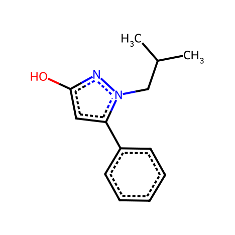 CC(C)Cn1nc(O)cc1-c1ccccc1